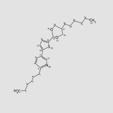 CCCCCCc1ccc(-c2ccc(C3OCC(CCCCCC)CO3)s2)cn1